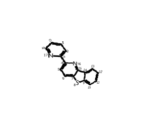 c1ccc(-c2ccc3sc4ccccc4c3n2)nc1